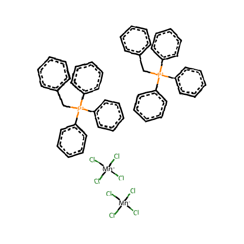 [Cl][Mn-]([Cl])([Cl])[Cl].[Cl][Mn-]([Cl])([Cl])[Cl].c1ccc(C[P+](c2ccccc2)(c2ccccc2)c2ccccc2)cc1.c1ccc(C[P+](c2ccccc2)(c2ccccc2)c2ccccc2)cc1